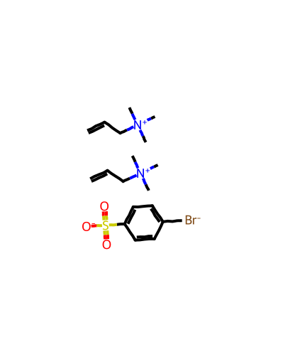 C=CC[N+](C)(C)C.C=CC[N+](C)(C)C.Cc1ccc(S(=O)(=O)[O-])cc1.[Br-]